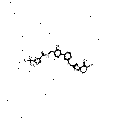 Cc1cc(-c2cc(Nc3cc4n(n3)CCN(C)C4=O)ncn2)ccc1CNC(=O)c1cnc(C(C)(C)C)s1